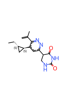 C=C(C)c1nnc(C2CNC(=O)NC2=O)cc1[C@H]1C[C@@H]1CC